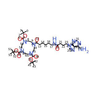 CC(C)(C)OC(=O)N1CCN(C(=O)CCCCCNC(=O)CCCn2cnc3c(N)ncnc32)CCN(C(=O)OC(C)(C)C)CCN(C(=O)OC(C)(C)C)CC1